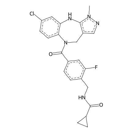 Cn1ncc2c1Nc1cc(Cl)ccc1N(C(=O)c1ccc(CNC(=O)C3CC3)c(F)c1)C2